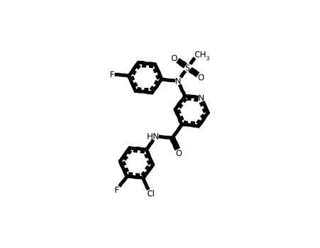 CS(=O)(=O)N(c1ccc(F)cc1)c1cc(C(=O)Nc2ccc(F)c(Cl)c2)ccn1